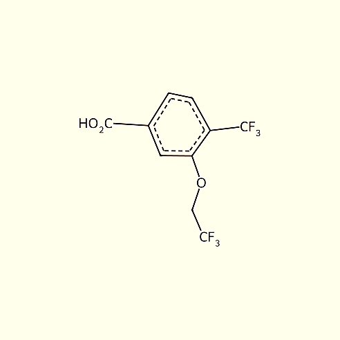 O=C(O)c1ccc(C(F)(F)F)c(OCC(F)(F)F)c1